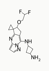 NC1CC(Nc2c3c(nc4ccnn24)C2(CC2)C(OCC(F)F)C3)C1